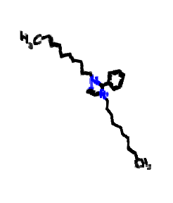 CCCCCCCCCCn1cc[n+](CCCCCCCCCC)c1-c1ccccc1